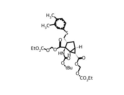 CCOC(=O)OCOC(=O)[C@H]1[C@@H]2C[C@@H](CSc3ccc(C)c(C)c3)[C@@](NC(=O)OC(C)(C)C)(C(=O)OCOC(=O)OCC)[C@@H]21